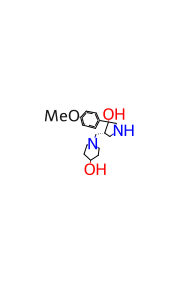 COc1ccc([C@@]2(O)CNC[C@@H]2CN2CCC(O)CC2)cc1